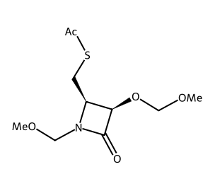 COCO[C@H]1C(=O)N(COC)[C@H]1CSC(C)=O